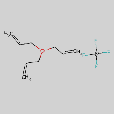 C=CC[O+](CC=C)CC=C.F[B-](F)(F)F